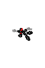 Cc1cc2c3c(c1)N(c1ccc(C(C)(C)C)cc1-c1ccccc1)c1cc4c(cc1B3c1ccc(N(c3ccc5c(c3)C(C)(C)c3ccccc3C5(C)C)c3ccc5c(c3)C(C)(C)c3ccccc3C5(C)C)cc1N2c1ccc(C(C)(C)C)cc1)C(C)(C)CCC4(C)C